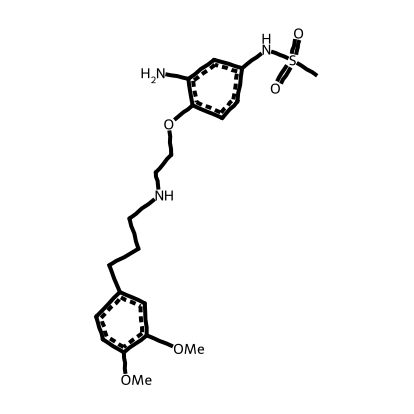 COc1ccc(CCCNCCOc2ccc(NS(C)(=O)=O)cc2N)cc1OC